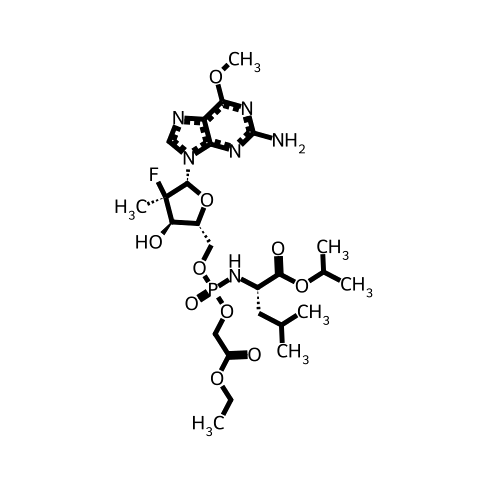 CCOC(=O)COP(=O)(N[C@@H](CC(C)C)C(=O)OC(C)C)OC[C@H]1O[C@@H](n2cnc3c(OC)nc(N)nc32)[C@](C)(F)[C@@H]1O